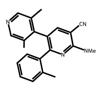 CNc1nc(-c2ccccc2C)c(-c2c(C)cncc2C)cc1C#N